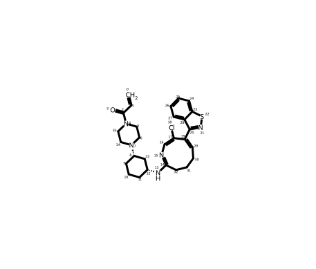 C=CC(=O)N1CCN([C@H]2CCC[C@@H](N/C3=N/C=C(Cl)\C(c4nsc5ccccc45)=C/CCC3)C2)CC1